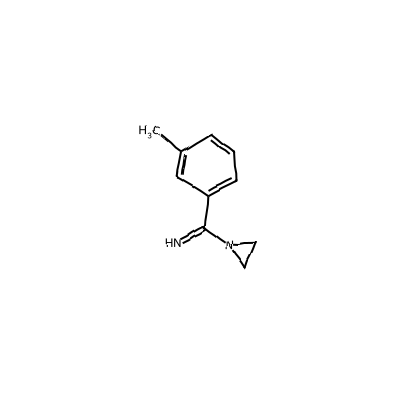 Cc1cccc(C(=N)N2CC2)c1